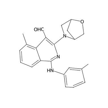 Cc1cccc(Nc2nc(N3CC4CC3CO4)c(C=O)c3c(C)cccc23)c1